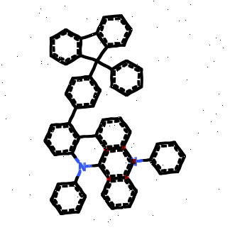 c1ccc(N(c2ccccc2)c2cccc(-c3c(-c4ccc(C5(c6ccccc6)c6ccccc6-c6ccccc65)cc4)cccc3N(c3ccccc3)c3ccccc3)c2)cc1